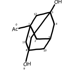 CC(=O)C12CC3CC(O)(CC(O)(C3)C1)C2